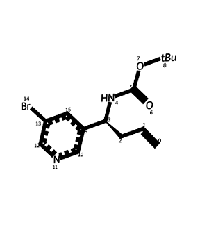 C=CC[C@H](NC(=O)OC(C)(C)C)c1cncc(Br)c1